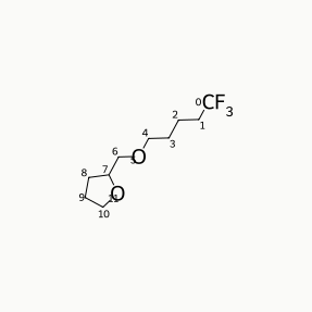 FC(F)(F)CCCCOCC1CCCO1